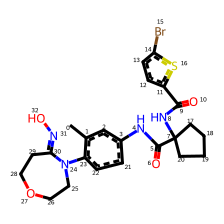 Cc1cc(NC(=O)C2(NC(=O)c3ccc(Br)s3)CCCC2)ccc1N1CCOCCC1=NO